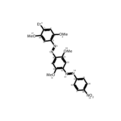 CCc1cc(OC)c(N=Nc2cc(OC)c(N=Nc3ccc([N+](=O)[O-])cc3)cc2OC)cc1OC